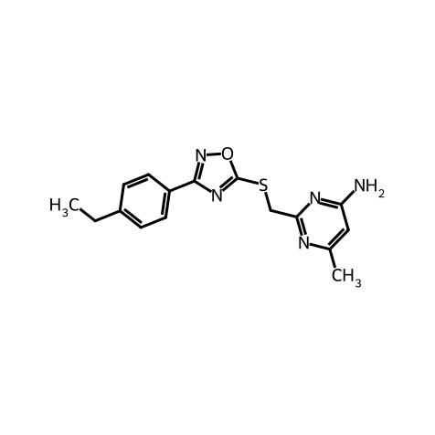 CCc1ccc(-c2noc(SCc3nc(C)cc(N)n3)n2)cc1